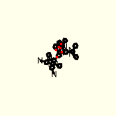 N#Cc1ccc2c(c1)N(c1ccccc1)c1cc(-c3ccc4c(c3)c3ccc(-c5ccccc5)cc3n4-c3ccc(-c4nc(-c5ccccc5)cc(-c5ccccc5)n4)cc3-c3nc(-c4ccccc4)nc(-c4ccccc4)n3)cc3c1B2c1ccc(C#N)cc1N3c1ccccc1